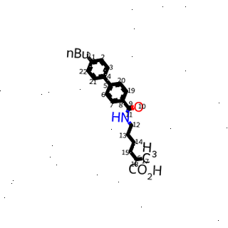 CCCCc1ccc(-c2ccc(C(=O)NCCCC[C@H](C)C(=O)O)cc2)cc1